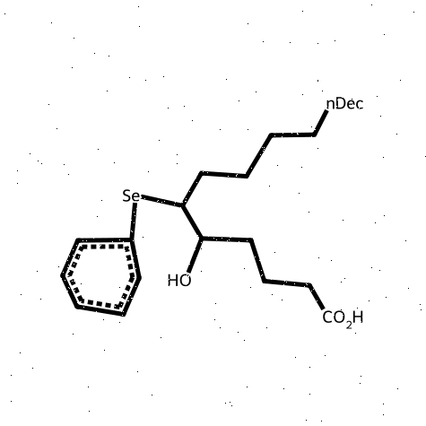 CCCCCCCCCCCCCCC([Se]c1ccccc1)C(O)CCCC(=O)O